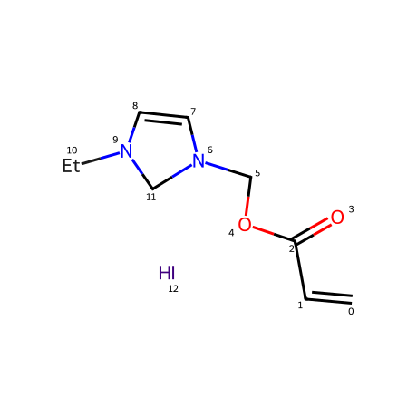 C=CC(=O)OCN1C=CN(CC)C1.I